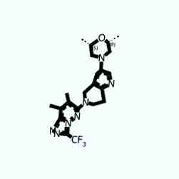 Cc1c(N2CCc3ncc(N4C[C@@H](C)O[C@@H](C)C4)cc3C2)nn2c(C(F)(F)F)nnc2c1C